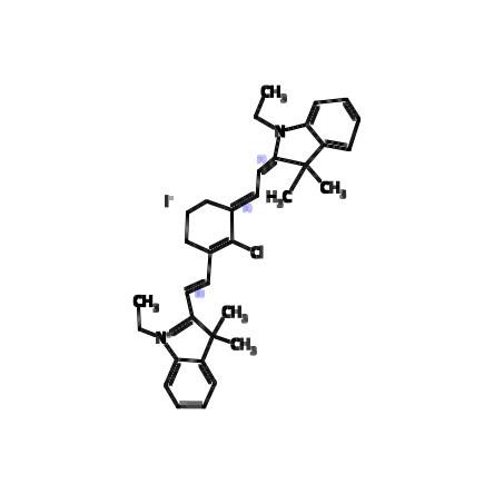 CCN1/C(=C/C=C2\CCCC(/C=C/C3=[N+](CC)c4ccccc4C3(C)C)=C2Cl)C(C)(C)c2ccccc21.[I-]